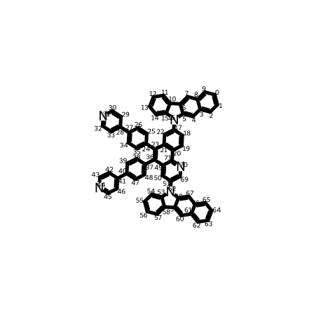 c1ccc2cc3c(cc2c1)c1ccccc1n3-c1ccc2c(c1)c(-c1ccc(-c3ccncc3)cc1)c(-c1ccc(-c3ccncc3)cc1)c1cc(-n3c4ccccc4c4cc5ccccc5cc43)cnc12